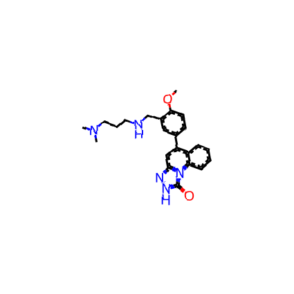 COc1ccc(-c2cc3n[nH]c(=O)n3c3ccccc23)cc1CNCCCN(C)C